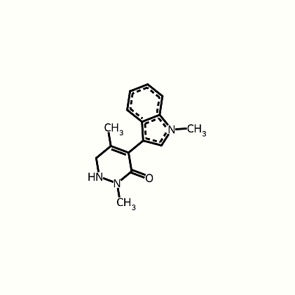 CC1=C(c2cn(C)c3ccccc23)C(=O)N(C)NC1